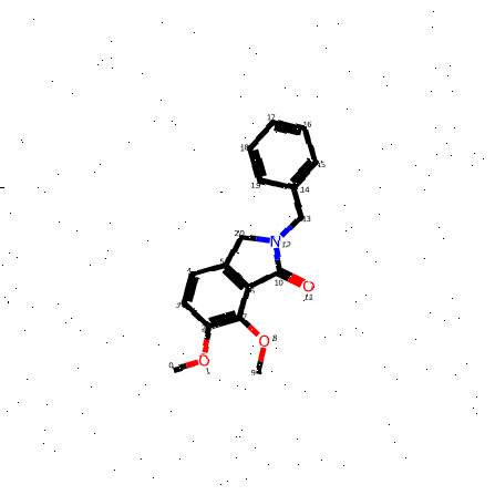 COc1ccc2c(c1OC)C(=O)N(Cc1ccccc1)C2